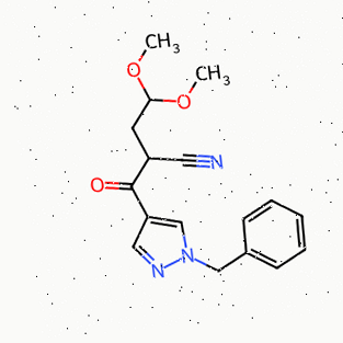 COC(CC(C#N)C(=O)c1cnn(Cc2ccccc2)c1)OC